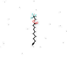 C#CCCCCCCCCC(=O)OCC(F)(F)F